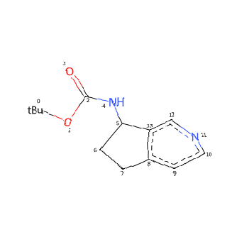 CC(C)(C)OC(=O)NC1CCc2ccncc21